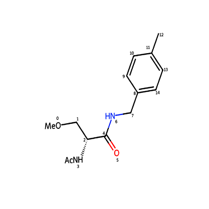 COC[C@@H](NC(C)=O)C(=O)NCc1ccc(C)cc1